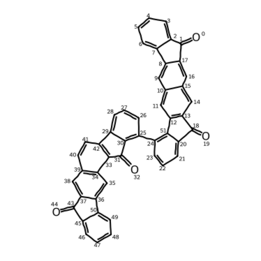 O=c1c2ccccc2c2cc3cc4c(cc3cc12)c(=O)c1cccc(-c2cccc3c2c(=O)c2c5cc6c(cc5ccc32)c(=O)c2ccccc26)c14